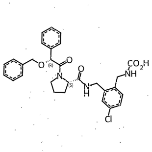 O=C(O)NCc1ccc(Cl)cc1CNC(=O)[C@@H]1CCCN1C(=O)[C@H](OCc1ccccc1)c1ccccc1